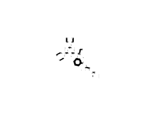 O=C(O)NCC(=O)Nc1cccc2c1nc(C(F)F)n2-c1nc(N2CCOCC2)nc(N2CCOCC2)n1